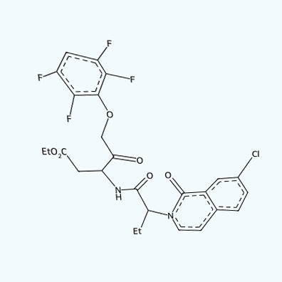 CCOC(=O)CC(NC(=O)C(CC)n1ccc2ccc(Cl)cc2c1=O)C(=O)COc1c(F)c(F)cc(F)c1F